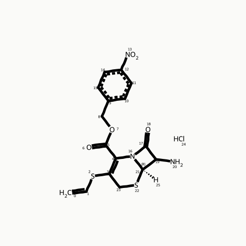 C=CSC1=C(C(=O)OCc2ccc([N+](=O)[O-])cc2)N2C(=O)C(N)[C@H]2SC1.Cl